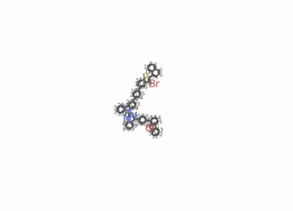 Brc1c(-c2cccc3ccccc23)sc2ccc(-c3ccc(-c4ccc5c(c4)c4ccccc4n5-c4nc(-c5ccc(-c6cccc7c6oc6ccccc67)cc5)c5ccccc5n4)cc3)cc12